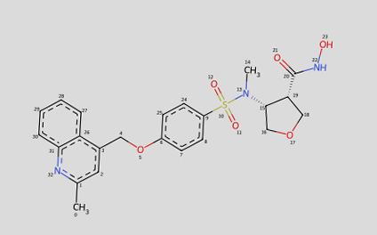 Cc1cc(COc2ccc(S(=O)(=O)N(C)[C@H]3COC[C@H]3C(=O)NO)cc2)c2ccccc2n1